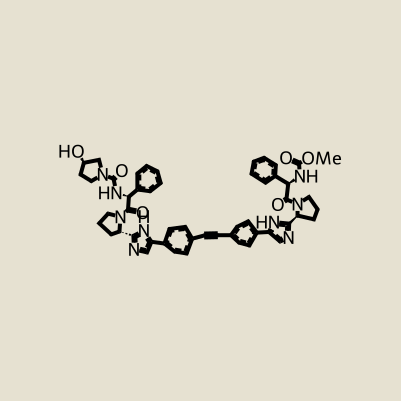 COC(=O)N[C@@H](C(=O)N1CCC[C@H]1c1ncc(-c2ccc(C#Cc3ccc(-c4cnc([C@@H]5CCCN5C(=O)[C@H](NC(=O)N5CC[C@@H](O)C5)c5ccccc5)[nH]4)cc3)cc2)[nH]1)c1ccccc1